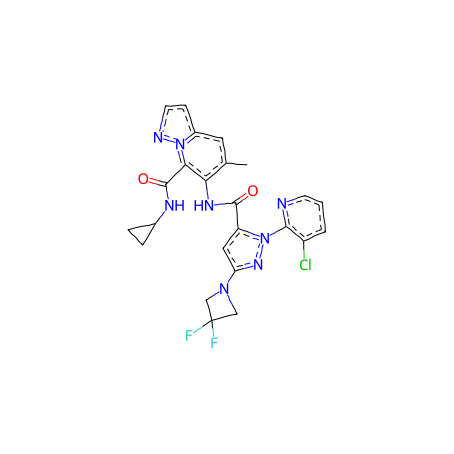 Cc1cc2ccnn2c(C(=O)NC2CC2)c1NC(=O)c1cc(N2CC(F)(F)C2)nn1-c1ncccc1Cl